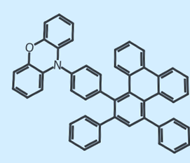 c1ccc(-c2cc(-c3ccccc3)c3c4ccccc4c4ccccc4c3c2-c2ccc(N3c4ccccc4Oc4ccccc43)cc2)cc1